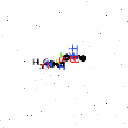 CC(=O)N1CC=C(c2cc3nccc(Oc4ccc(NC(=O)NC(=O)Cc5ccccc5)cc4F)c3s2)CC1